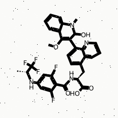 COC1=C(c2ccc(C[C@H](NC(=O)c3c(F)cc(N[C@H](C)C(F)(F)F)cc3F)C(=O)O)c3cccnc23)C(O)N(C)c2ccccc21